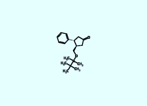 CC(C)(C)[Si](C)(C)OC[C@@H]1CC(=O)C[C@H]1c1ccccc1